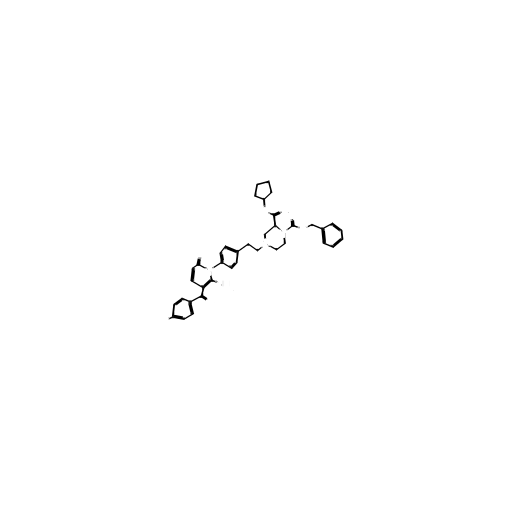 Nc1c(C(=O)c2ccc(F)cc2)ccc(=O)n1-c1ccc(CCN2CCN(C(=O)OCc3ccccc3)C(C(=O)OC3CCCC3)C2)cc1